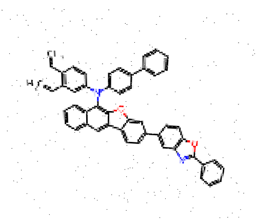 C=Cc1ccc(N(c2ccc(-c3ccccc3)cc2)c2c3ccccc3cc3c2oc2cc(-c4ccc5oc(-c6ccccc6)nc5c4)ccc23)cc1C=C